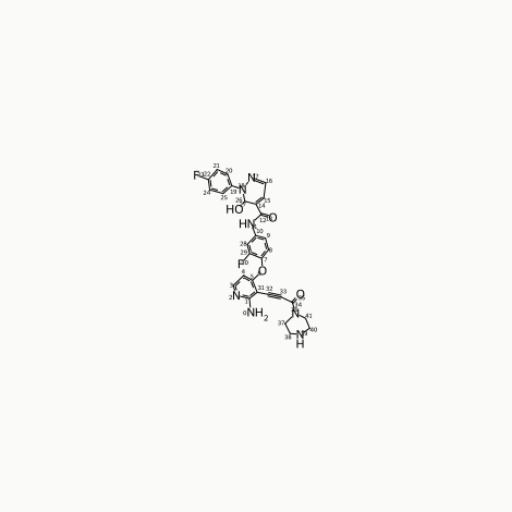 Nc1nccc(Oc2ccc(NC(=O)C3=CC=NN(c4ccc(F)cc4)C3O)cc2F)c1C#CC(=O)N1CCNCC1